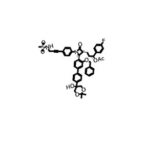 CC(=O)O[C@@H](CC[C@H]1C(=O)N(c2ccc(C#CCNS(C)(=O)=O)cc2)[C@@H]1c1ccc(-c2ccc(C3(O)COC(C)(C)OC3)cc2)cc1OCc1ccccc1)c1ccc(F)cc1